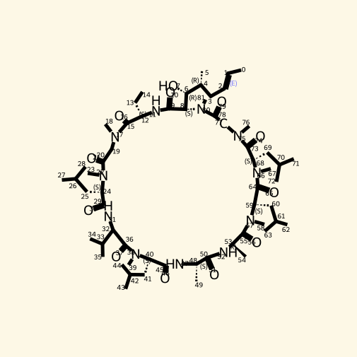 C/C=C/C[C@@H](C)[C@@H](O)[C@H]1C(=O)N[C@@H](CC)C(=O)N(C)CC(=O)N(C)[C@@H](CC(C)C)C(=O)NC(C(C)C)C(=O)N(C)[C@@H](CC(C)C)C(=O)N[C@@H](C)C(=O)N[C@H](C)C(=O)N(C)[C@@H](CC(C)C)C(=O)N(C)[C@@H](CC(C)C)C(=O)N(C)CC(=O)N1C